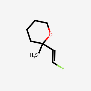 FC=CC1([SiH3])CCCCO1